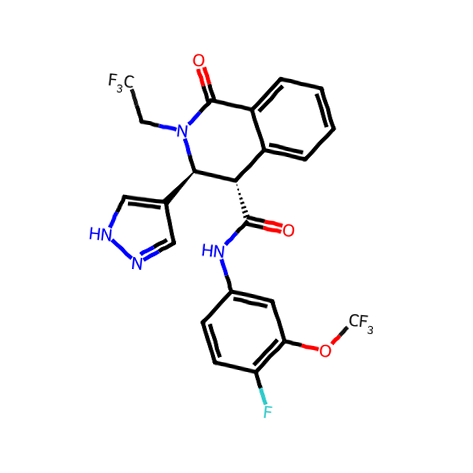 O=C(Nc1ccc(F)c(OC(F)(F)F)c1)[C@H]1c2ccccc2C(=O)N(CC(F)(F)F)[C@@H]1c1cn[nH]c1